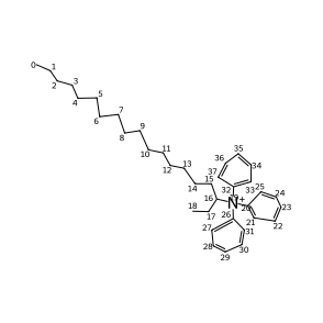 CCCCCCCCCCCCCCCCC(CC)[N+](c1ccccc1)(c1ccccc1)c1ccccc1